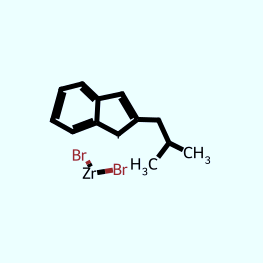 CC(C)CC1=Cc2ccccc2[CH]1.[Br][Zr][Br]